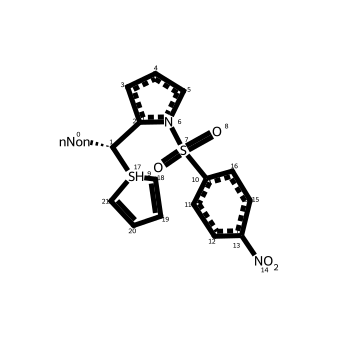 CCCCCCCCC[C@H](c1cccn1S(=O)(=O)c1ccc([N+](=O)[O-])cc1)[SH]1C=CC=C1